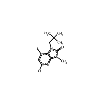 Cn1c(=O)n(CC(C)(C)C)c2c(I)cc(Cl)nc21